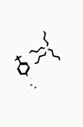 CCCC[N+](CCCC)(CCCC)CCCC.O=S(=O)(O)O.Oc1ccc(C(F)(F)F)cc1